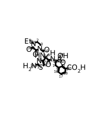 CCN1CCN(C(=O)N[C@](C)(C(=O)N[C@H]2Cc3cccc(C(=O)O)c3OB2O)c2csc(N)n2)C(=O)C1=O